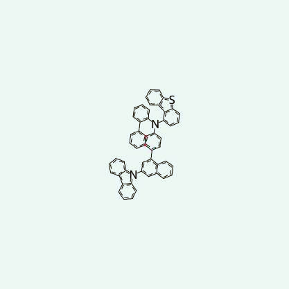 c1ccc(-c2ccccc2N(c2ccc(-c3cc(-n4c5ccccc5c5ccccc54)cc4ccccc34)cc2)c2cccc3sc4ccccc4c23)cc1